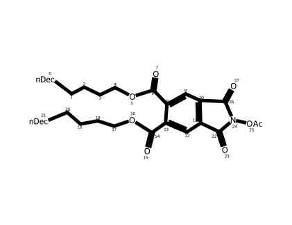 CCCCCCCCCCCCCCOC(=O)c1cc2c(cc1C(=O)OCCCCCCCCCCCCCC)C(=O)N(OC(C)=O)C2=O